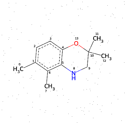 Cc1ccc2c(c1C)NCC(C)(C)O2